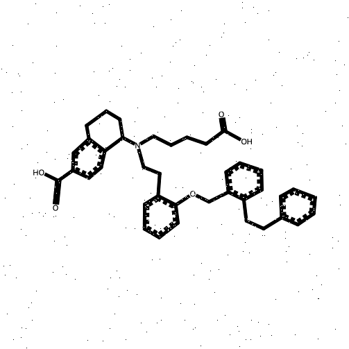 O=C(O)CCCCN(CCc1ccccc1OCc1ccccc1CCc1ccccc1)C1CCCc2cc(C(=O)O)ccc21